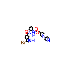 O=C(Nc1ccccc1NC(=O)c1ccc2c(Br)c[nH]c2c1)OCC1CCN(c2ccncc2)CC1